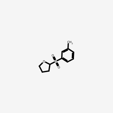 Cc1cccc(S(=O)(=O)C2CCCO2)c1